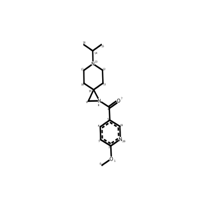 COc1ccc(C(=O)N2CC23CCN(C(C)C)CC3)cn1